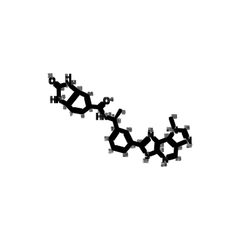 C[C@H](NC(=O)c1ccc2[nH]c(=O)[nH]c2c1)c1cccc(-c2nc3c(ncc4ncn(C)c43)s2)c1